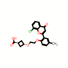 Cc1ccc(OCCO[C@H]2C[C@H](C(=O)O)C2)c(-c2cc(=O)c3cccc(Cl)c3o2)c1